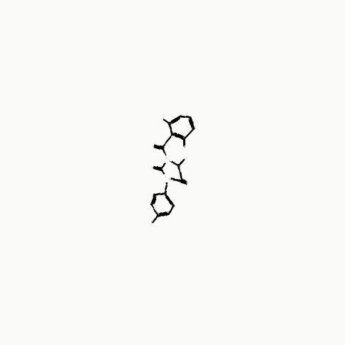 O=C1C(Cl)N(C(=O)c2c(F)cccc2F)C(=O)N1c1ccc(Cl)cc1